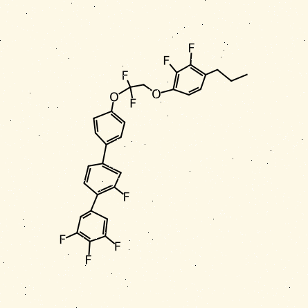 CCCc1ccc(OCC(F)(F)Oc2ccc(-c3ccc(-c4cc(F)c(F)c(F)c4)c(F)c3)cc2)c(F)c1F